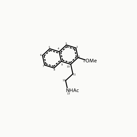 COc1ccc2ccccc2c1CCNC(C)=O